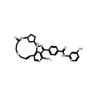 N#Cc1ccnc(NC(=O)c2ccc(-c3nn4c5c(cnc(N)c35)/C=C/COCCC(=O)N[C@@H]3CC[C@@H]4C3)cc2)c1